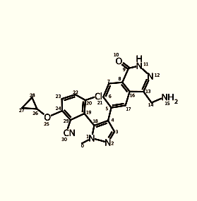 Cn1ncc(-c2ccc3c(=O)[nH]nc(CN)c3c2)c1-c1c(Cl)ccc(OC2CC2)c1C#N